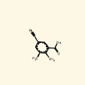 Cc1cc(C#N)cc(C(=O)O)c1C